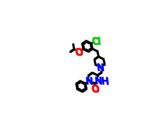 CC(C)Oc1ccc(Cl)c(CC2CCN(CC3CCN(c4ccccc4)C(=O)N3)CC2)c1